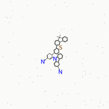 CC1(C)c2ccccc2-c2c1ccc1c2sc2ccc(C3CC=C(C#N)C=C3n3c4ccccc4c4cc(C#N)ccc43)cc21